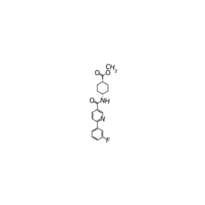 COC(=O)[C@H]1CC[C@H](NC(=O)c2ccc(-c3cccc(F)c3)nc2)CC1